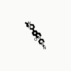 Cc1cn2c(n1)CCC(c1ccc3c(=O)n(C4CCB(C#N)CC4)ccc3c1)C2